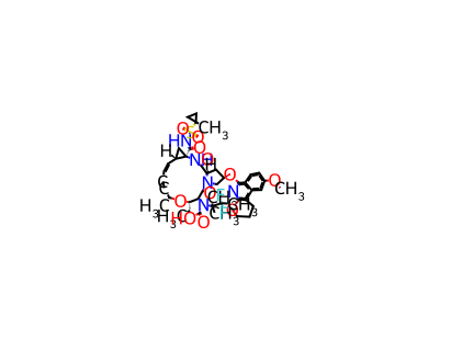 CC[C@@H]1O[C@H](C)CC/C=C\[C@@H]2C[C@@]2(C(=O)NS(=O)(=O)C2(C)CC2)NC(=O)[C@@H]2C[C@@H](Oc3nc4c(c5cc(OC)ccc35)CCCO4)CN2C(=O)[C@H]1N(C(=O)O)C(C)(C)C(C)(F)F